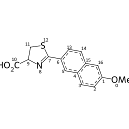 COc1ccc2cc(C3=NC(C(=O)O)CS3)ccc2c1